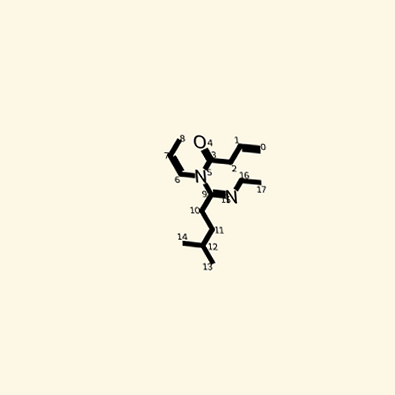 C=CCC(=O)N(/C=C\C)/C(CCC(C)C)=N\CC